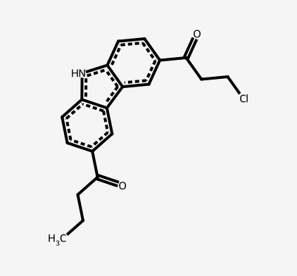 CCCC(=O)c1ccc2[nH]c3ccc(C(=O)CCCl)cc3c2c1